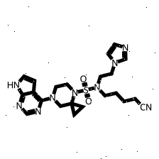 N#CCCCCN(CCn1ccnc1)S(=O)(=O)N1CCN(c2ncnc3[nH]ccc23)CC12CC2